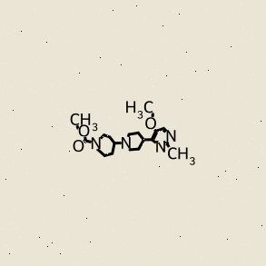 CCOC(=O)N1CCCC(N2CCC(c3nc(C)ncc3OCC)CC2)CC1